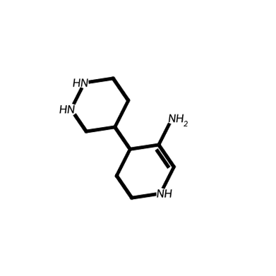 NC1=CNCCC1C1CCNNC1